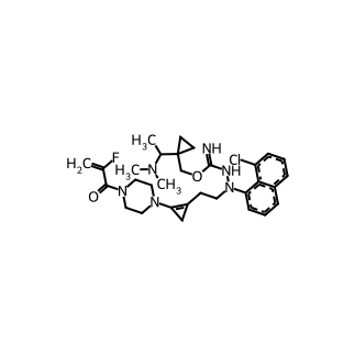 C=C(F)C(=O)N1CCN(C2=C(CCN(NC(=N)OCC3(C(C)N(C)C)CC3)c3cccc4cccc(Cl)c34)C2)CC1